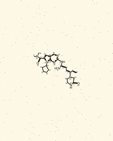 C=C/C(=C\C=C(/N)Nc1ncc2cc(C(=O)N(C)C)n(C3CCCC3)c2n1)N1CCNC(=O)C1